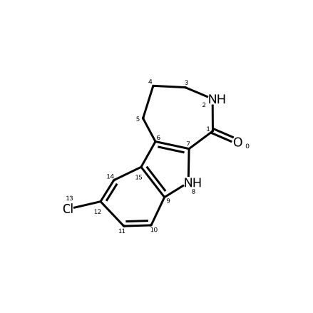 O=C1NCCCc2c1[nH]c1ccc(Cl)cc21